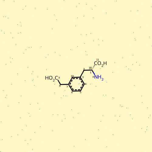 N[C@H](Cc1cccc(CC(=O)O)c1)C(=O)O